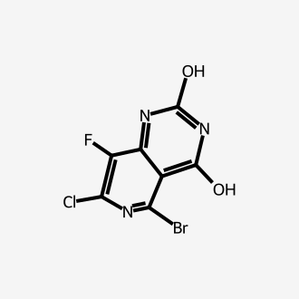 Oc1nc(O)c2c(Br)nc(Cl)c(F)c2n1